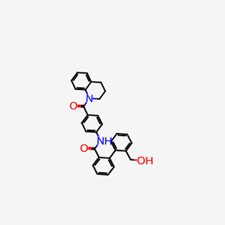 O=C(Nc1ccc(C(=O)N2CCCc3ccccc32)cc1)c1ccccc1-c1ccccc1CO